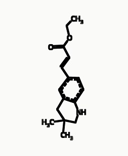 CCOC(=O)/C=C/c1ccc2c(c1)CC(C)(C)CN2